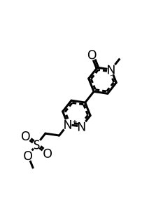 COS(=O)(=O)CC[n+]1ccc(-c2ccn(C)c(=O)c2)cn1